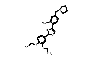 CCOc1ccc(C2NC(c3ccc(CN4CCCC4)cc3C)=NO2)cc1OCC